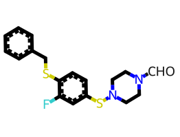 O=CN1CCN(Sc2ccc(SCc3ccccc3)c(F)c2)CC1